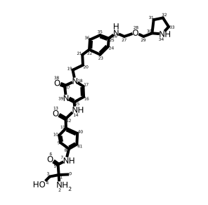 CC(N)(CO)C(=O)Nc1ccc(C(=O)Nc2ccn(CCCc3ccc(NCOCC4CCCN4)cc3)c(=O)n2)cc1